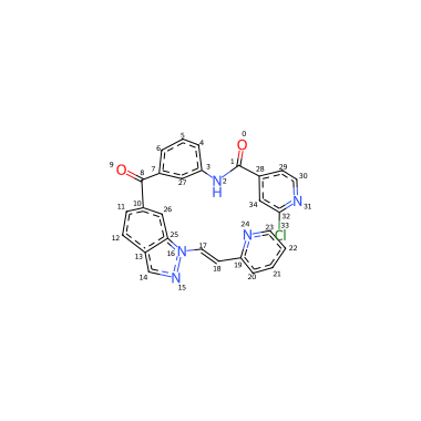 O=C(Nc1cccc(C(=O)c2ccc3cnn(C=Cc4ccccn4)c3c2)c1)c1ccnc(Cl)c1